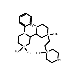 CN1CC[N+](C)(CC[N+]2(C)CCNCC2)CC1C1C[N+](C)(C)CCN1c1ccccc1